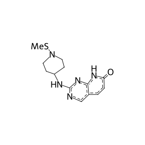 CSN1CCC(Nc2ncc3ccc(=O)[nH]c3n2)CC1